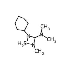 CN(C)C1N(C)[SiH2]N1C1CCCCC1